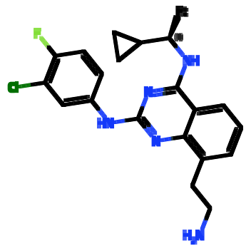 CC[C@@H](Nc1nc(Nc2ccc(F)c(Cl)c2)nc2c(CCN)cccc12)C1CC1